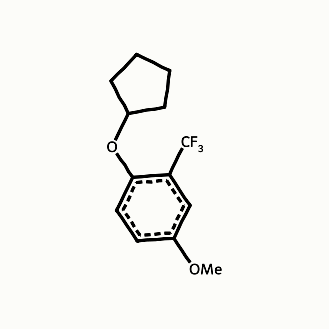 COc1ccc(OC2CCCC2)c(C(F)(F)F)c1